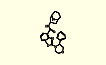 CN1C2CCCC1CC(NC(=O)c1cccc3oc(N4CCOCC4c4ccccc4)nc13)C2